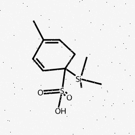 CC1=CCC([Si](C)(C)C)(S(=O)(=O)O)C=C1